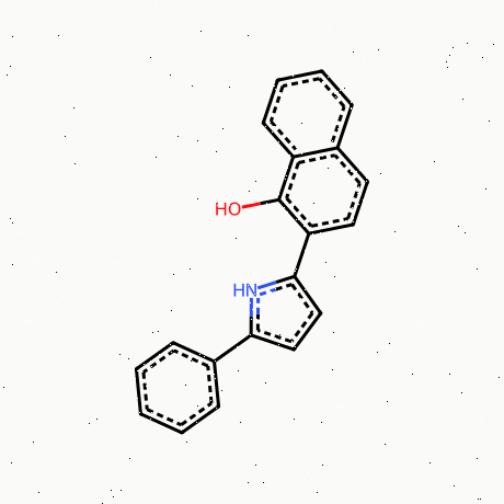 Oc1c(-c2ccc(-c3ccccc3)[nH]2)ccc2ccccc12